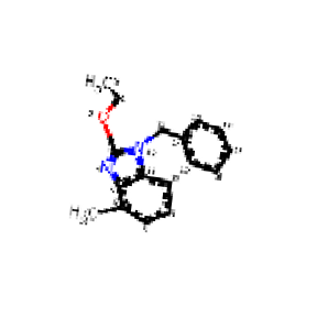 CCOc1nc2c(C)c[c]cc2n1Cc1ccccc1